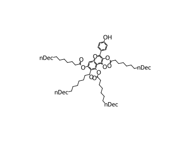 CCCCCCCCCCCCCCCCC(=O)Oc1cc2oc(-c3ccc(O)cc3)c(OC(=O)CCCCCCCCCCCCCCCC)c(=O)c2c(OC(=O)CCCCCCCCCCCCCCCC)c1C(=O)CCCCCCCCCCCCCCCC